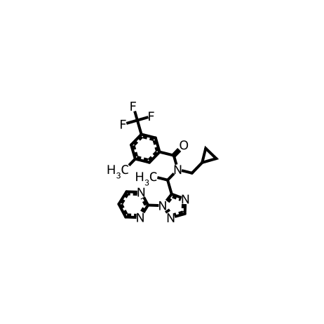 Cc1cc(C(=O)N(CC2CC2)C(C)c2ncnn2-c2ncccn2)cc(C(F)(F)F)c1